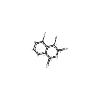 O=c1oc(=O)n(F)c2c(F)cccc12